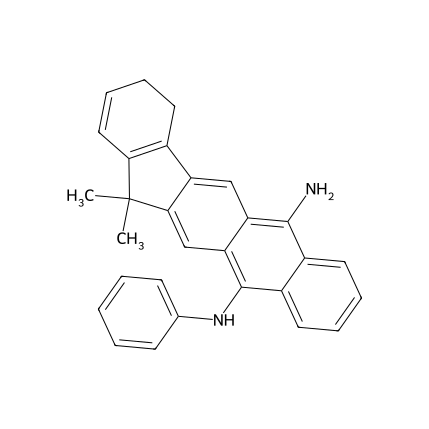 CC1(C)C2=C(CCC=C2)c2cc3c(N)c4ccccc4c(Nc4ccccc4)c3cc21